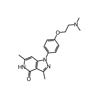 Cc1cc2c(c(C)nn2-c2ccc(OCCN(C)C)cc2)c(=O)[nH]1